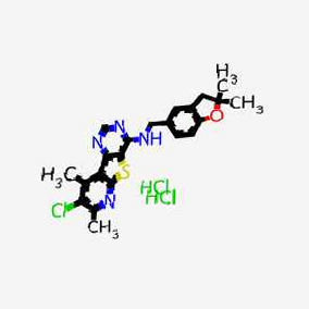 Cc1nc2sc3c(NCc4ccc5c(c4)CC(C)(C)O5)ncnc3c2c(C)c1Cl.Cl.Cl